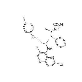 CC(CCOc1ccc(F)cc1)Nc1c(F)cnc2ccc(Cl)nc12.C[C@H](Cc1ccccc1)NC(=O)O